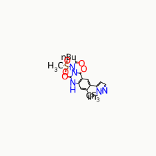 CCCCC(=O)N(n1c(=O)[nH]c2cc(C(F)(F)F)c(-c3ccnn3C(C)C)cc2c1=O)S(C)(=O)=O